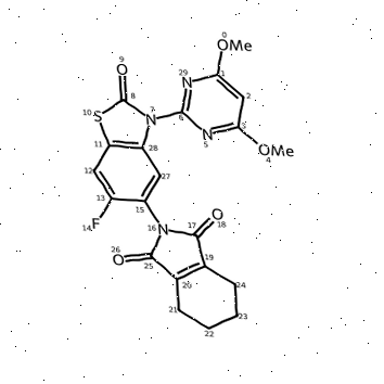 COc1cc(OC)nc(-n2c(=O)sc3cc(F)c(N4C(=O)C5=C(CCCC5)C4=O)cc32)n1